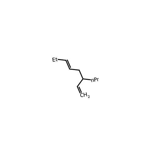 C=CC(CC=CCC)CCC